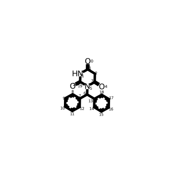 O=C1CC(=O)N(C(c2ccccc2)c2ccccc2)C(=O)N1